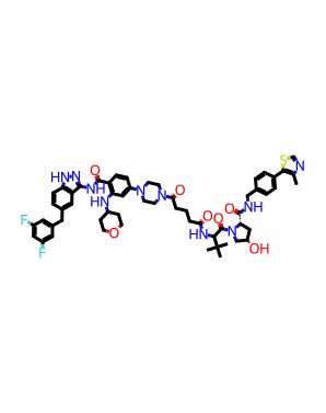 Cc1ncsc1-c1ccc(CNC(=O)[C@@H]2C[C@@H](O)CN2C(=O)C(NC(=O)CCCC(=O)N2CCN(c3ccc(C(=O)Nc4n[nH]c5ccc(Cc6cc(F)cc(F)c6)cc45)c(NC4CCOCC4)c3)CC2)C(C)(C)C)cc1